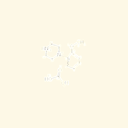 COc1ccccc1N1CCNCC1.O=C(O)O